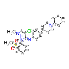 C=N/C=C(Cl)\C(=N/c1ccc(C2CCN(C3CCCCC3)CC2)cc1)Nc1ccccc1S(C)(=O)=O